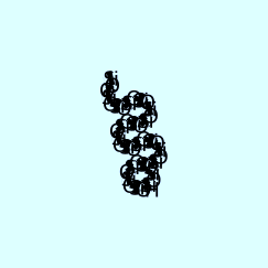 C[SiH](C)O[Si](C)(C)O[Si](C)(C)O[Si](C)(C)O[Si](C)(C)O[Si](C)(C)O[Si](C)(C)O[Si](C)(C)O[Si](C)(C)O[Si](C)(C)O[Si](C)(C)O[Si](C)(C)O[Si](C)(C)O[Si](C)(C)O[Si](C)(C)O[Si](C)(C)O[Si](C)(C)O[Si](C)(C)O[Si](C)(C)O[Si](C)(C)OO[Si](C)(C)C